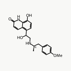 COc1ccc(C[C@@H](C)NCC(O)c2ccc(O)c3[nH]c(=O)ccc23)cc1